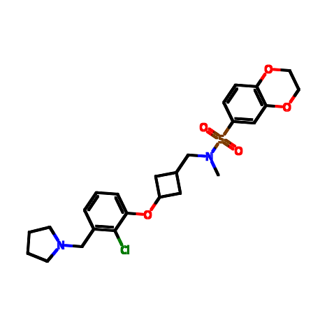 CN(CC1CC(Oc2cccc(CN3CCCC3)c2Cl)C1)S(=O)(=O)c1ccc2c(c1)OCCO2